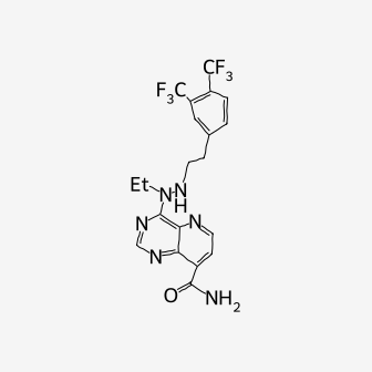 CCN(NCCc1ccc(C(F)(F)F)c(C(F)(F)F)c1)c1ncnc2c(C(N)=O)ccnc12